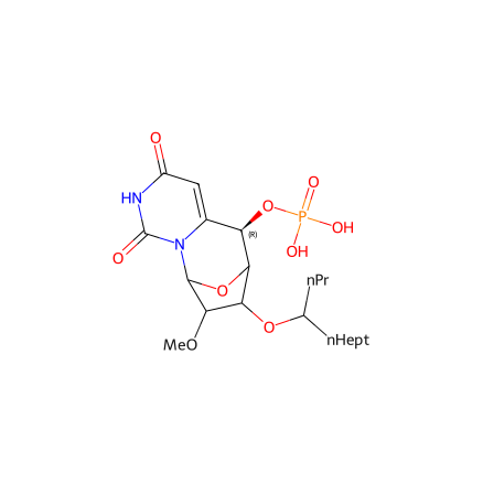 CCCCCCCC(CCC)OC1C(OC)C2OC1[C@H](OP(=O)(O)O)c1cc(=O)[nH]c(=O)n12